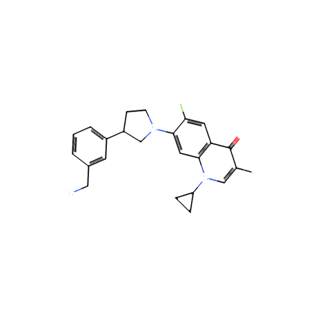 NCc1cccc(C2CCN(c3cc4c(cc3F)c(=O)c(C(=O)O)cn4C3CC3)C2)c1